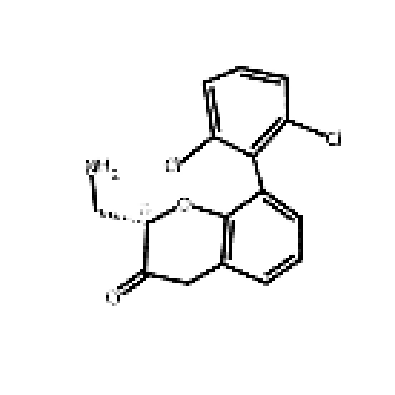 NC[C@@H]1Oc2c(cccc2-c2c(Cl)cccc2Cl)CC1=O